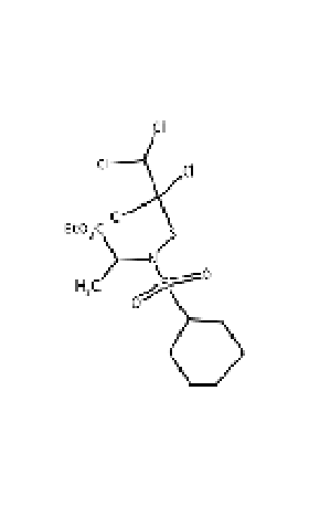 CCOC(=O)C(C)N(SC(Cl)(Cl)C(Cl)Cl)S(=O)(=O)C1CCCCC1